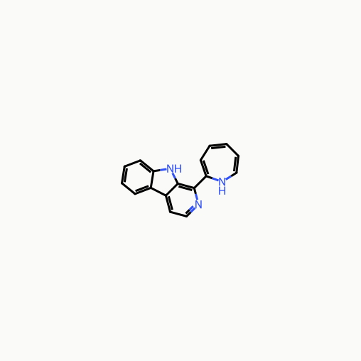 C1=CC=C(c2nccc3c2[nH]c2ccccc23)NC=C1